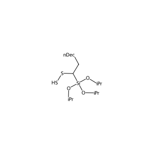 CCCCCCCCCCCC(SS)[Si](OC(C)C)(OC(C)C)OC(C)C